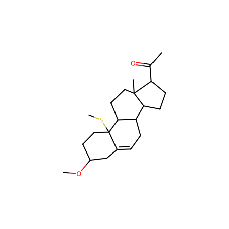 COC1CCC2(SC)C(=CCC3C2CCC2(C)C(C(C)=O)CCC32)C1